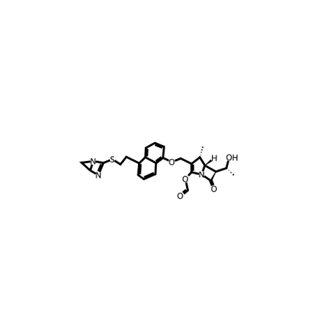 C[C@@H](O)[C@H]1C(=O)N2C(OC=O)=C(COc3cccc4c(CCSC5=NC6CN56)cccc34)[C@H](C)[C@H]12